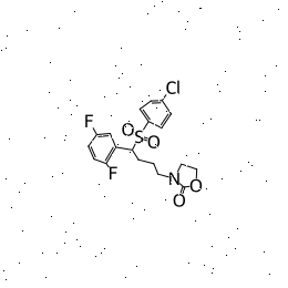 O=C1OCCN1CCCC(c1cc(F)ccc1F)S(=O)(=O)c1ccc(Cl)cc1